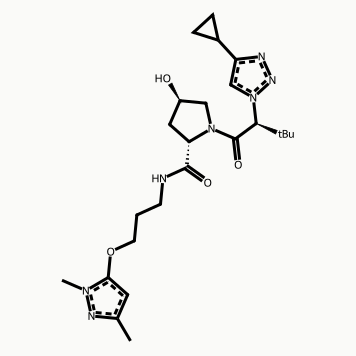 Cc1cc(OCCCNC(=O)[C@@H]2C[C@@H](O)CN2C(=O)[C@@H](n2cc(C3CC3)nn2)C(C)(C)C)n(C)n1